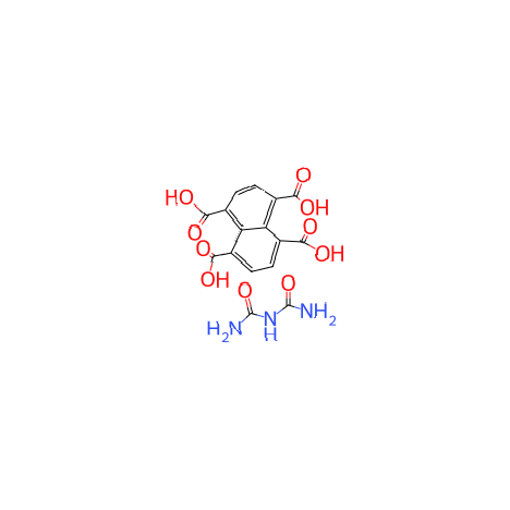 NC(=O)NC(N)=O.O=C(O)c1ccc(C(=O)O)c2c(C(=O)O)ccc(C(=O)O)c12